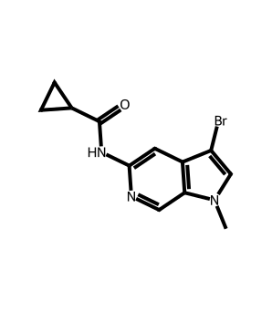 Cn1cc(Br)c2cc(NC(=O)C3CC3)ncc21